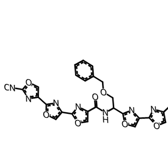 [C-]#[N+]c1nc(-c2nc(-c3nc(C(=O)NC(COCc4ccccc4)c4nc(-c5nc(C)co5)co4)co3)co2)co1